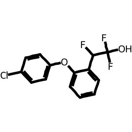 OC(F)(F)C(F)c1ccccc1Oc1ccc(Cl)cc1